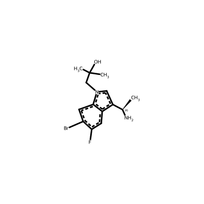 C[C@@H](N)c1cn(CC(C)(C)O)c2cc(Br)c(F)cc12